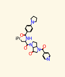 CC(C)CC(NC(=O)c1ccc(N2CCCC2)cc1)C(=O)N1CCC2C1C(=O)CN2C(=O)c1ccncc1